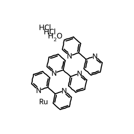 Cl.Cl.O.[Ru].c1ccc(-c2ccccn2)nc1.c1ccc(-c2ccccn2)nc1.c1ccc(-c2ccccn2)nc1